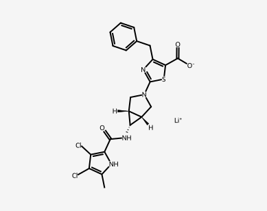 Cc1[nH]c(C(=O)N[C@@H]2[C@@H]3CN(c4nc(Cc5ccccc5)c(C(=O)[O-])s4)C[C@@H]32)c(Cl)c1Cl.[Li+]